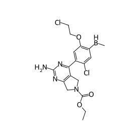 CBc1cc(Cl)c(-c2nc(N)nc3c2CN(C(=O)OCC)C3)cc1OCCCl